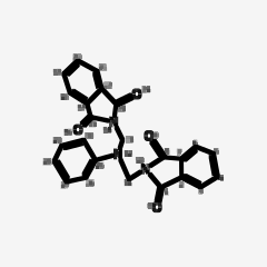 O=C1c2ccccc2C(=O)N1CN(CN1C(=O)c2ccccc2C1=O)c1ccccc1